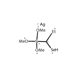 CCC([SeH])[Si](OC)(OC)OC.[Ag]